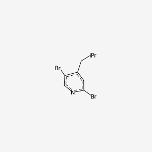 CC(C)Cc1cc(Br)ncc1Br